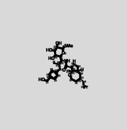 CSC1OC([C@H](NC(=O)[C@H]2NC[C@@H]3C[C@H](CC(C)C)CCO[C@H]32)[C@H](C)Sc2ccc(CO)cc2)C(O)C(O)C1O